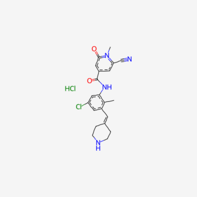 Cc1c(C=C2CCNCC2)cc(Cl)cc1NC(=O)c1cc(C#N)n(C)c(=O)c1.Cl